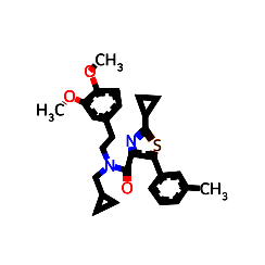 COc1ccc(CCN(CC2CC2)C(=O)c2nc(C3CC3)sc2-c2cccc(C)c2)cc1OC